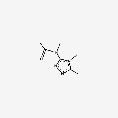 CC(=O)N(C)c1nnc(C)n1C